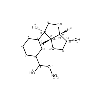 O=[N+]([O-])OC(O)C1CCCC([C@@]2(O)CO[C@@H]3[C@H](O)CO[C@@H]32)C1